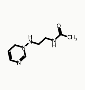 CC(=O)NCCNN1C=NC=CC1